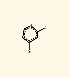 [S]c1ccnc(Cl)c1